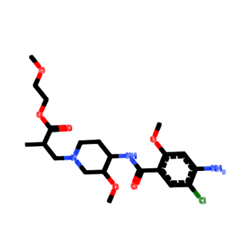 COCCOC(=O)C(C)CN1CCC(NC(=O)c2cc(Cl)c(N)cc2OC)C(OC)C1